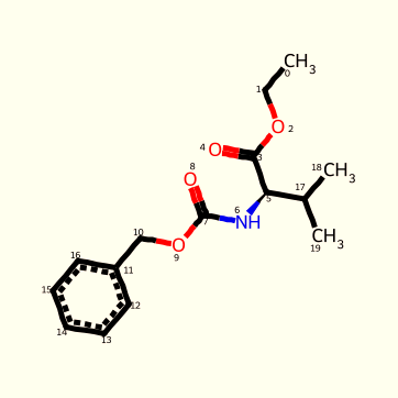 CCOC(=O)[C@H](NC(=O)OCc1ccccc1)C(C)C